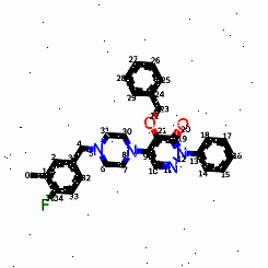 Cc1cc(CN2CCN(c3cnn(-c4ccccc4)c(=O)c3OCc3ccccc3)CC2)ccc1F